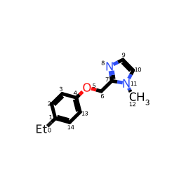 CCc1ccc(OCc2nccn2C)cc1